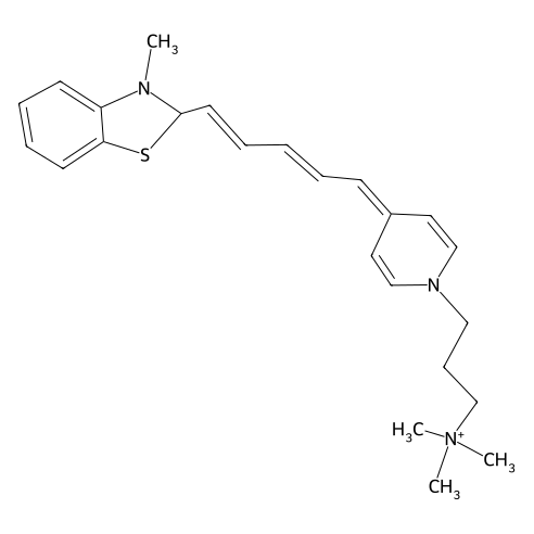 CN1c2ccccc2SC1C=CC=CC=C1C=CN(CCC[N+](C)(C)C)C=C1